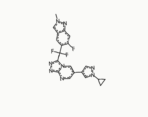 Cn1cc2cc(C(F)(F)c3nnc4ncc(-c5cnn(C6CC6)c5)cn34)c(F)cc2n1